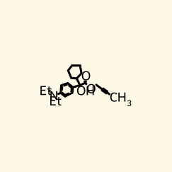 CC#CCOC(=O)C(O)(c1ccc(N(CC)CC)cc1)C1CCCCC1